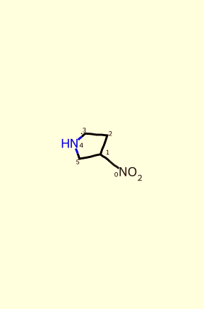 O=[N+]([O-])C1C[CH]NC1